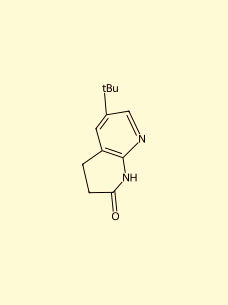 CC(C)(C)c1cnc2c(c1)CCC(=O)N2